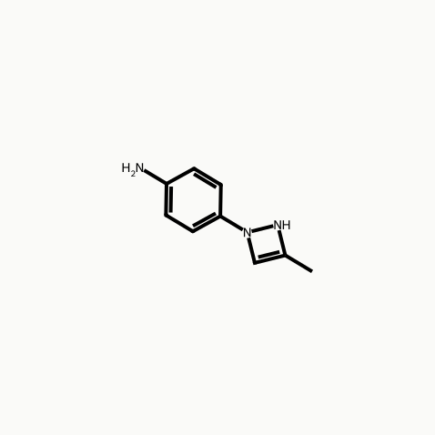 Cc1cn(-c2ccc(N)cc2)[nH]1